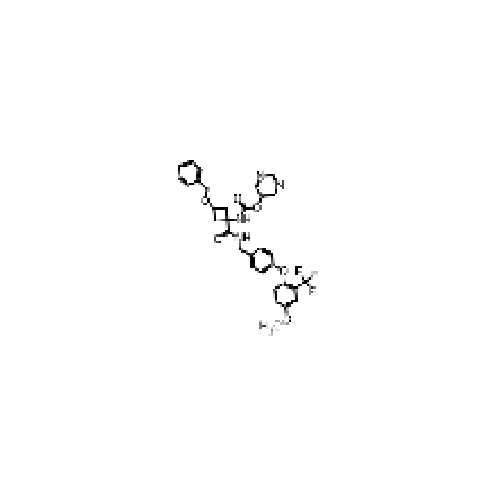 COc1ccc(Oc2ccc(CNC(=O)C3(NC(=O)Oc4cncnc4)CC(OCc4ccccc4)C3)cc2)c(C(F)(F)F)c1